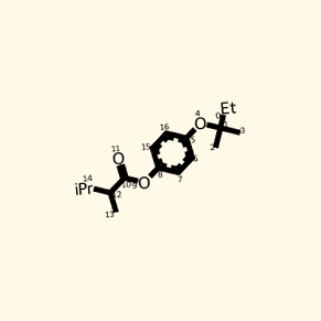 CCC(C)(C)Oc1ccc(OC(=O)C(C)C(C)C)cc1